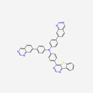 c1ccc2c(c1)sc1c(-c3ccc(N(c4ccc(-c5ccc6cncnc6c5)cc4)c4ccc(-c5ccc6cncnc6c5)cc4)cc3)ncnc12